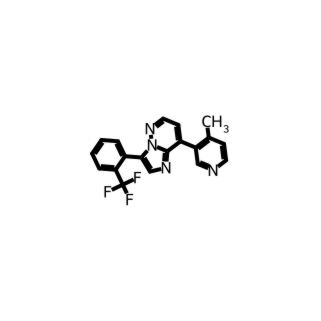 Cc1ccncc1-c1ccnn2c(-c3ccccc3C(F)(F)F)cnc12